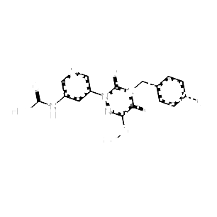 COc1nn(-c2cncc(NC(C)=O)c2)c(=O)n(Cc2ccc(Cl)cc2)c1=O